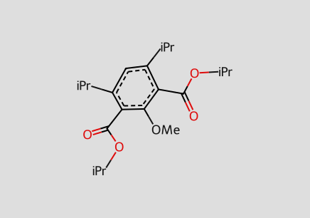 COc1c(C(=O)OC(C)C)c(C(C)C)cc(C(C)C)c1C(=O)OC(C)C